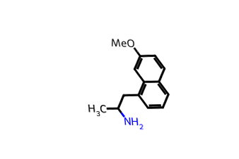 COc1ccc2cccc(CC(C)N)c2c1